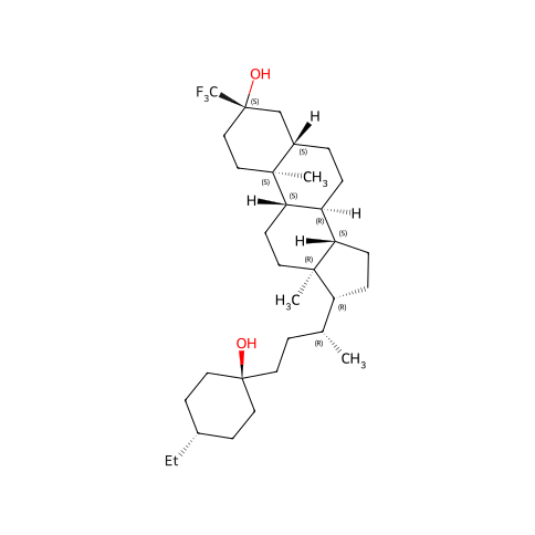 CC[C@H]1CC[C@@](O)(CC[C@@H](C)[C@H]2CC[C@H]3[C@@H]4CC[C@H]5C[C@](O)(C(F)(F)F)CC[C@]5(C)[C@H]4CC[C@]23C)CC1